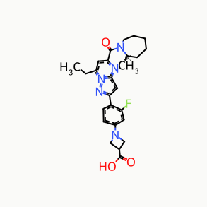 CCc1cc(C(=O)N2CCCCC[C@H]2C)nc2cc(-c3ccc(N4CC(C(=O)O)C4)cc3F)nn12